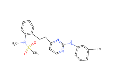 CN(c1ccccc1CCc1ccnc(Nc2cccc(C#N)c2)n1)S(C)(=O)=O